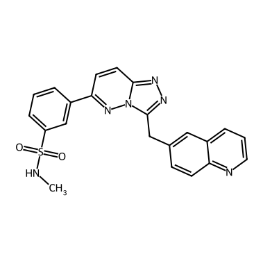 CNS(=O)(=O)c1cccc(-c2ccc3nnc(Cc4ccc5ncccc5c4)n3n2)c1